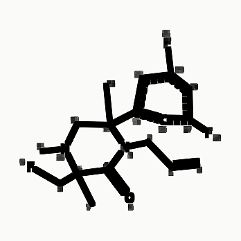 C=CCN1C(=O)C(C)(CF)N(C)CC1(C)c1cc(F)cc(F)c1